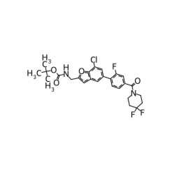 CC(C)(C)OC(=O)NCc1cc2cc(-c3ccc(C(=O)N4CCC(F)(F)CC4)cc3F)cc(Cl)c2o1